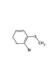 CSC1=C(Br)[CH]CC=C1